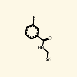 O=C(N[CH2][Sn])c1cccc(F)c1